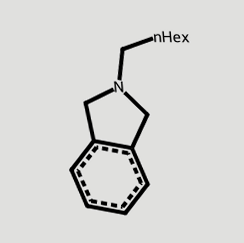 CCCCCCCN1Cc2ccccc2C1